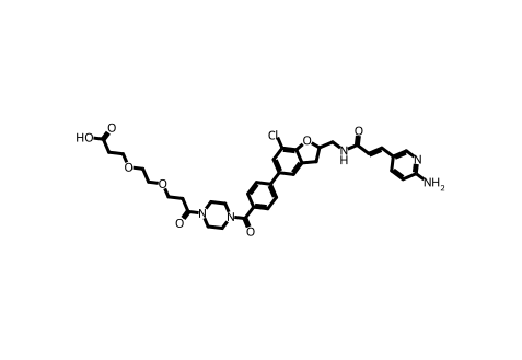 Nc1ccc(C=CC(=O)NCC2Cc3cc(-c4ccc(C(=O)N5CCN(C(=O)CCOCCOCCC(=O)O)CC5)cc4)cc(Cl)c3O2)cn1